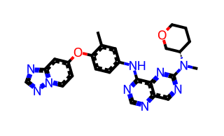 Cc1cc(Nc2ncnc3cnc(N(C)[C@H]4CCCOC4)nc23)ccc1Oc1ccn2ncnc2c1